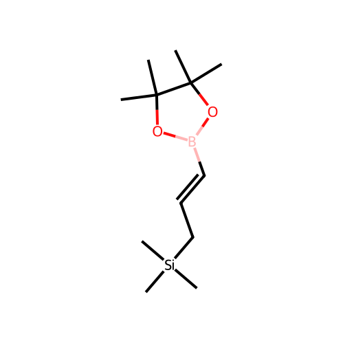 CC1(C)OB(/C=C/C[Si](C)(C)C)OC1(C)C